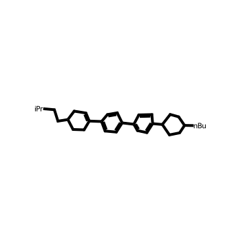 CCCCC1CCC(c2ccc(-c3ccc(C4=CCC(CCC(C)C)CC4)cc3)cc2)CC1